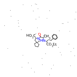 CCOC(=O)[C@H](CCc1ccccc1)NC(C)C(=O)N1CC2(CCCC2)C[C@H]1C(=O)O